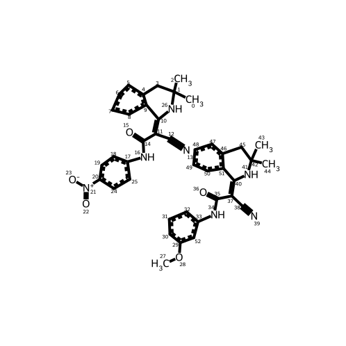 CC1(C)Cc2ccccc2/C(=C(/C#N)C(=O)Nc2ccc([N+](=O)[O-])cc2)N1.COc1cccc(NC(=O)/C(C#N)=C2/NC(C)(C)Cc3ccccc32)c1